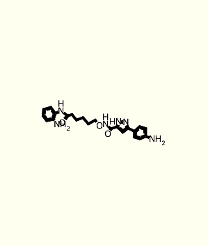 Nc1ccc(-c2cc(C(=O)NOCCCCCC(=O)Nc3ccccc3N)[nH]n2)cc1